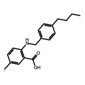 CCCCc1ccc(CNc2ccc(I)cc2C(=O)O)cc1